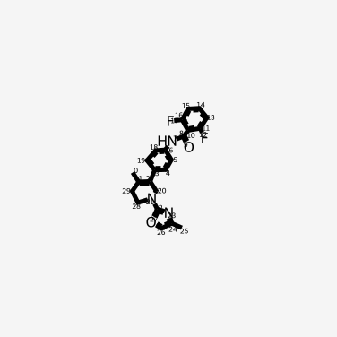 CC1=C(c2ccc(NC(=O)c3c(F)cccc3F)cc2)CN(c2nc(C)co2)CC1